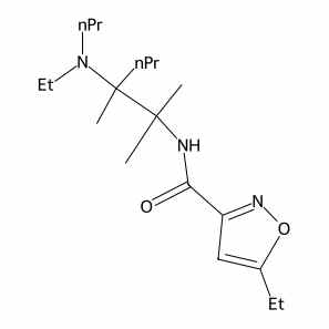 CCCN(CC)C(C)(CCC)C(C)(C)NC(=O)c1cc(CC)on1